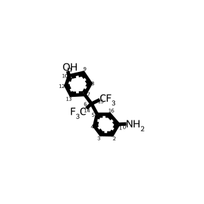 Nc1cccc(C(c2ccc(O)cc2)(C(F)(F)F)C(F)(F)F)c1